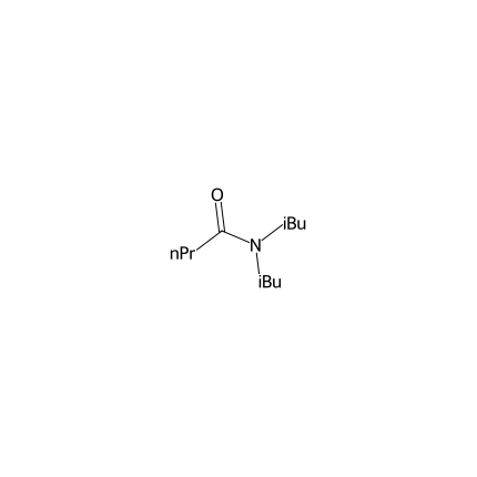 [CH2]CCC(=O)N(C(C)CC)C(C)CC